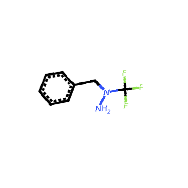 NN(Cc1ccccc1)C(F)(F)F